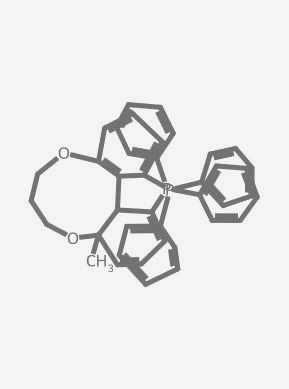 CC12C=CC=C(P(c3ccccc3)c3ccccc3)C1c1c(cccc1P(c1ccccc1)c1ccccc1)OCCCO2